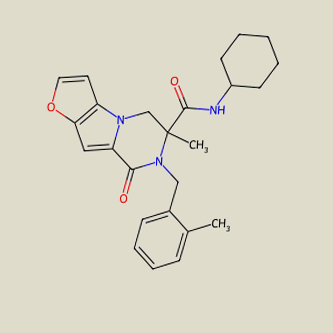 Cc1ccccc1CN1C(=O)c2cc3occc3n2CC1(C)C(=O)NC1CCCCC1